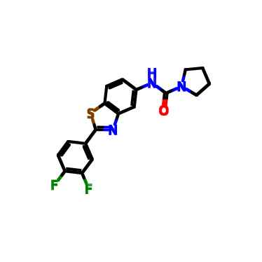 O=C(Nc1ccc2sc(-c3ccc(F)c(F)c3)nc2c1)N1CCCC1